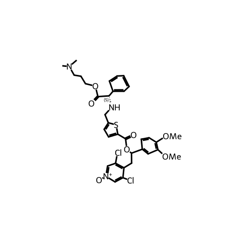 COc1ccc(C(Cc2c(Cl)c[n+]([O-])cc2Cl)OC(=O)c2ccc(CN[C@H](C(=O)OCCCN(C)C)c3ccccc3)s2)cc1OC